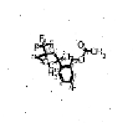 CC(=O)OCc1cc(F)ccc1C(C)(C)CC1(C(F)(F)F)CO1